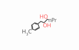 CCCC(O)C(O)Cc1ccc(C)cc1